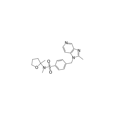 Cc1nc2cnccc2n1Cc1ccc(S(=O)(=O)N(C)C2(C)CCCO2)cc1